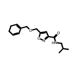 CC(C)CNC(=O)c1cc(COCC2=CCCC=C2)on1